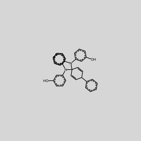 Oc1cccc(N(c2ccccc2)C2(N(c3ccccc3)c3cccc(O)c3)C=CC(c3ccccc3)C=C2)c1